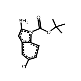 Bc1cc2cc(Cl)ccc2n1C(=O)OC(C)(C)C